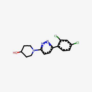 OC1CCN(c2ccc(-c3ccc(Cl)cc3Cl)nn2)CC1